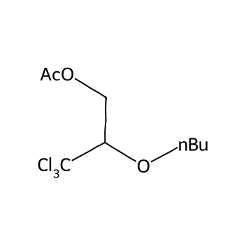 CCCCOC(COC(C)=O)C(Cl)(Cl)Cl